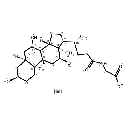 C[C@H](CCC(=O)NCC(=O)O)[C@H]1CC[C@H]2[C@@H]3[C@H](O)C[C@@H]4C[C@H](O)CC[C@]4(C)[C@H]3C[C@H](O)[C@]12C.[NaH]